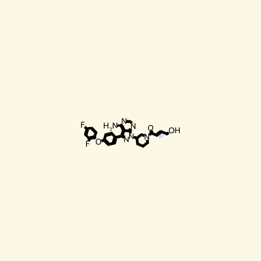 Nc1ncnc2c1c(-c1ccc(Oc3ccc(F)cc3F)cc1)nn2C1CCCN(C(=O)/C=C/CO)C1